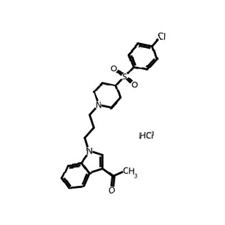 CC(=O)c1cn(CCCN2CCC(S(=O)(=O)c3ccc(Cl)cc3)CC2)c2ccccc12.Cl